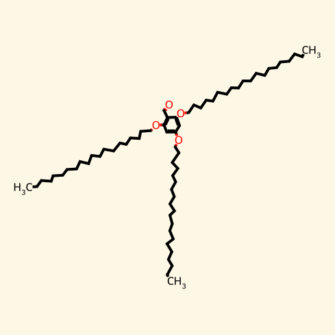 CCCCCCCCCCCCCCCCCCCCOc1cc(OCCCCCCCCCCCCCCCCCCCC)c(C=O)c(OCCCCCCCCCCCCCCCCCCCC)c1